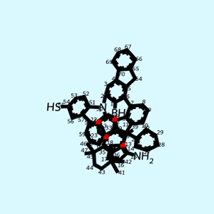 Bc1c2cc3c(c1-c1cccc(C(C4=C(N)C=C=C4)(c4ccccc4)c4ccccc4)c1/C(c1cc4c(cc1C)C(C)(C)CCC4(C)C)=C(/C)N2c1ccc(S)cc1-c1ccccc1)Cc1ccccc1-3